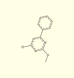 COc1nc(Cl)cc(-c2ccccc2)n1